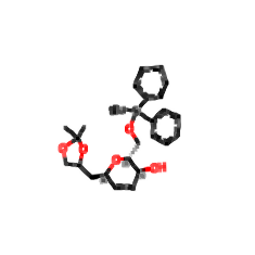 CC1(C)OCC(C[C@@H]2C=C[C@H](O)[C@@H](CO[Si](c3ccccc3)(c3ccccc3)C(C)(C)C)O2)O1